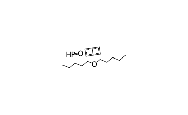 CCCCCOCCCCC.O=P.c1cc2ccc1-2